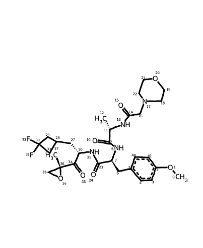 COc1ccc(C[C@H](NC(=O)[C@H](C)NC(=O)CN2CCOCC2)C(=O)N[C@@H](CC2CC(F)(F)C2)C(=O)[C@@]2(C)CO2)cc1